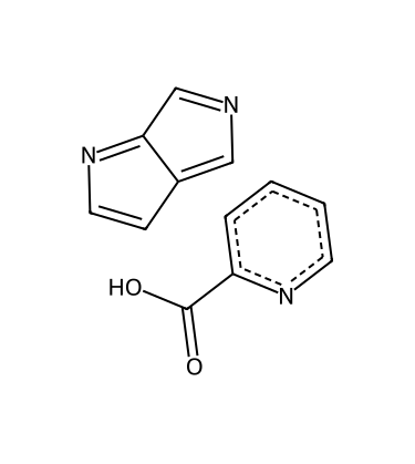 C1=CC2=CN=CC2=N1.O=C(O)c1ccccn1